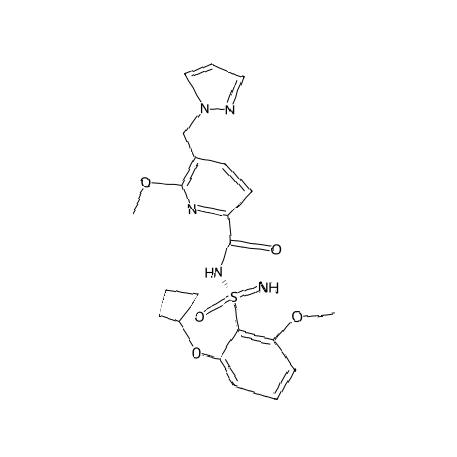 COc1cccc(OC2CCC2)c1[S@](=N)(=O)NC(=O)c1ccc(Cn2cccn2)c(OC)n1